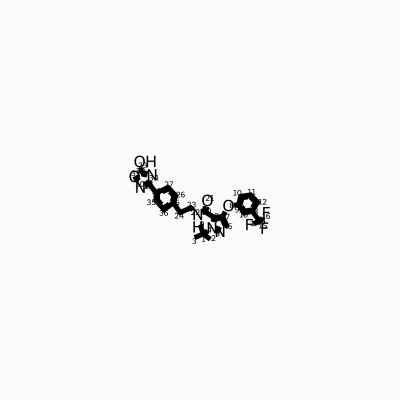 CC(C)(C)n1ncc(Oc2cccc(C(F)(F)F)c2)c1C(=O)NCCc1ccc(-c2noc(O)n2)cc1